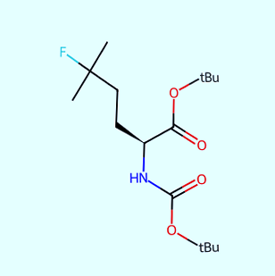 CC(C)(F)CC[C@H](NC(=O)OC(C)(C)C)C(=O)OC(C)(C)C